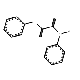 CCN(C(=O)C(=O)Nc1ccccc1)c1ccccc1